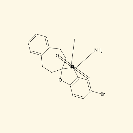 CN1C(=O)C2(N=C1N)c1cc(Br)ccc1OC21CCc2ccccc2CC1